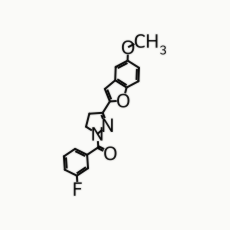 COc1ccc2oc(C3=NN(C(=O)c4cccc(F)c4)CC3)cc2c1